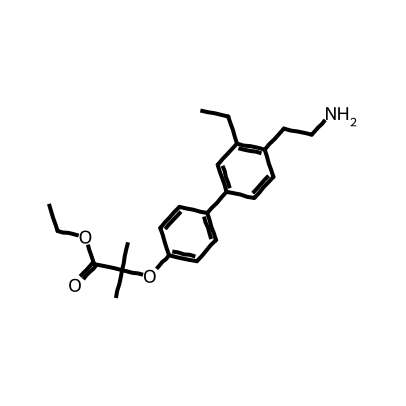 CCOC(=O)C(C)(C)Oc1ccc(-c2ccc(CCN)c(CC)c2)cc1